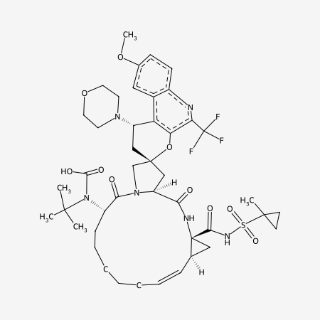 COc1ccc2nc(C(F)(F)F)c3c(c2c1)[C@@H](N1CCOCC1)C[C@]1(C[C@H]2C(=O)N[C@]4(C(=O)NS(=O)(=O)C5(C)CC5)C[C@H]4C=CCCCCC[C@H](N(C(=O)O)C(C)(C)C)C(=O)N2C1)O3